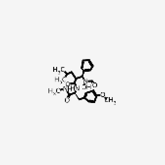 CNC(=O)[C@H](Cc1ccc(OC)cc1)NC(=O)C(CC(C)C)C(c1ccccc1)N(O)C=O